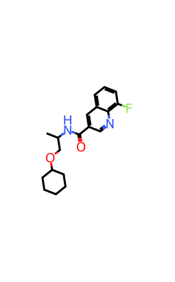 CC(COC1CCCCC1)NC(=O)c1cnc2c(F)cccc2c1